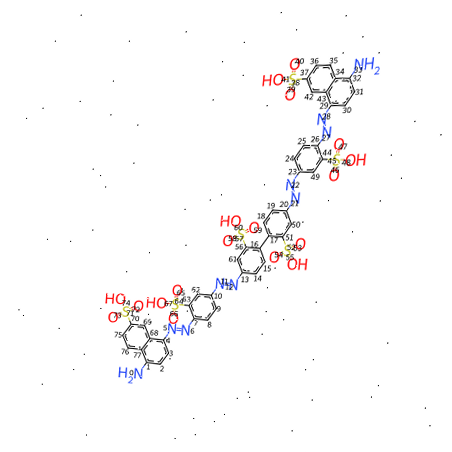 Nc1ccc(N=Nc2ccc(N=Nc3ccc(-c4ccc(N=Nc5ccc(N=Nc6ccc(N)c7ccc(S(=O)(=O)O)cc67)c(S(=O)(=O)O)c5)cc4S(=O)(=O)O)c(S(=O)(=O)O)c3)cc2S(=O)(=O)O)c2cc(S(=O)(=O)O)ccc12